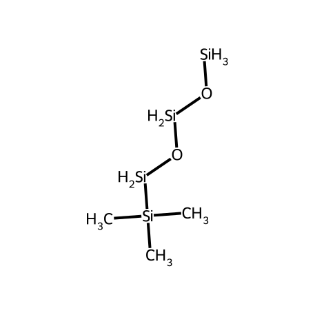 C[Si](C)(C)[SiH2]O[SiH2]O[SiH3]